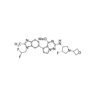 COc1nc(N[C@@H]2CN(C3COC3)C[C@@H]2F)nn2ccc(-c3ccc4nc(C)n(CC(F)F)c4c3)c12